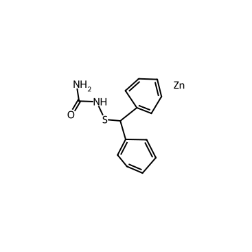 NC(=O)NSC(c1ccccc1)c1ccccc1.[Zn]